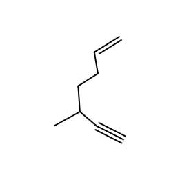 C#CC(C)CCC=C